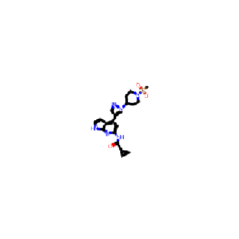 CS(=O)(=O)N1CCC(n2cc(-c3cc(NC(=O)C4CC4)nc4[nH]ccc34)cn2)CC1